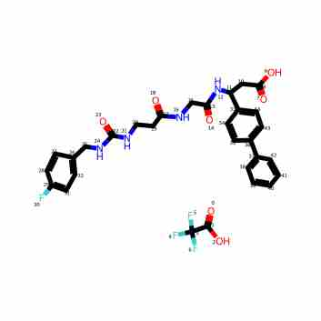 O=C(O)C(F)(F)F.O=C(O)CC(NC(=O)CNC(=O)CCNC(=O)NCc1ccc(F)cc1)c1ccc(-c2ccccc2)cc1